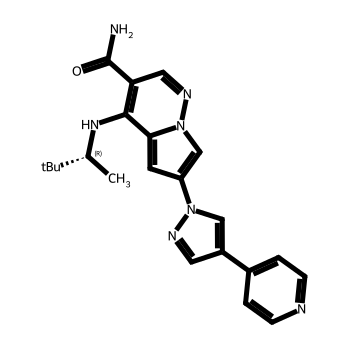 C[C@@H](Nc1c(C(N)=O)cnn2cc(-n3cc(-c4ccncc4)cn3)cc12)C(C)(C)C